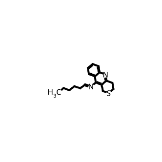 CCCCCC=Nc1c2c(nc3ccccc13)CCSC2